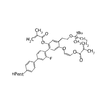 C=C(C)C(=O)O/C=C\Oc1cc(-c2ccc(-c3ccc(CCCCC)cc3)cc2F)c(OC(=O)C(=C)C)cc1CCO[Si](C)(C)C(C)(C)C